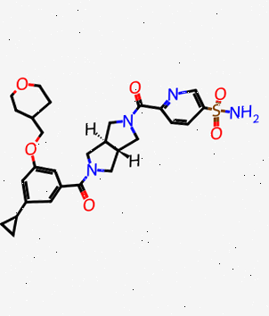 NS(=O)(=O)c1ccc(C(=O)N2C[C@@H]3CN(C(=O)c4cc(OCC5CCOCC5)cc(C5CC5)c4)C[C@H]3C2)nc1